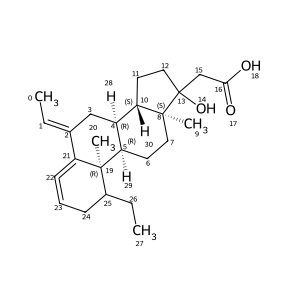 CC=C1C[C@@H]2[C@@H](CC[C@@]3(C)[C@H]2CCC3(O)CC(=O)O)[C@]2(C)C1=C=CCC2CC